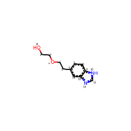 OCCOCCc1ccc2[nH]cnc2c1